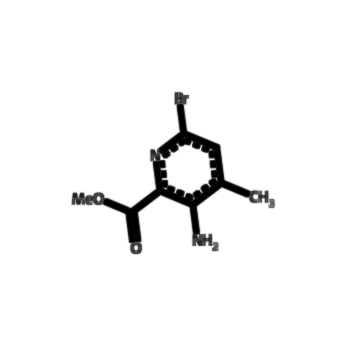 COC(=O)c1nc(Br)cc(C)c1N